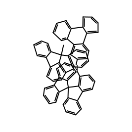 CC1(c2ccccc2)c2ccccc2-c2cccc(N(c3ccc4c5ccccc5c5ccccc5c4c3)c3cccc4c3C3(c5ccccc5-c5ccccc53)c3ccccc3-4)c21